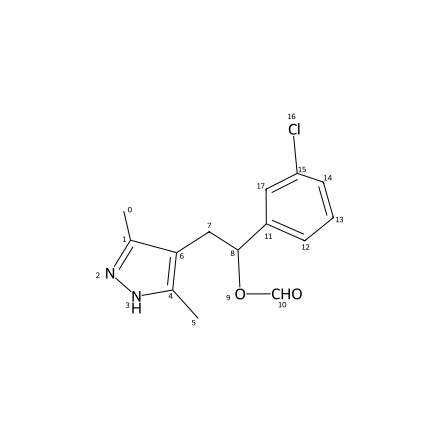 Cc1n[nH]c(C)c1CC(OC=O)c1cccc(Cl)c1